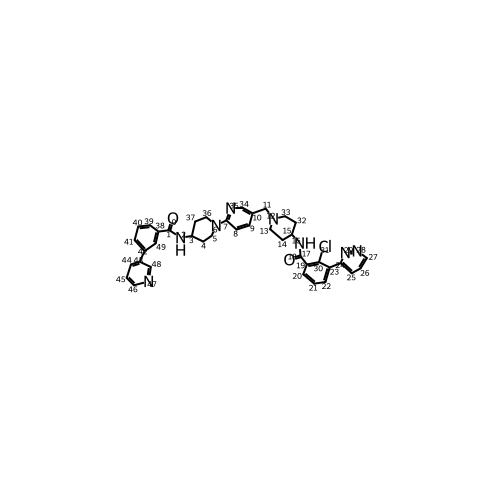 O=C(NC1CCN(c2ccc(CN3CCC(NC(=O)c4cccc(-c5cccnn5)c4Cl)CC3)cn2)CC1)c1cccc(-c2cccnc2)c1